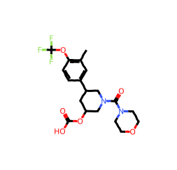 Cc1cc(C2CC(OC(=O)O)CN(C(=O)N3CCOCC3)C2)ccc1OC(F)(F)F